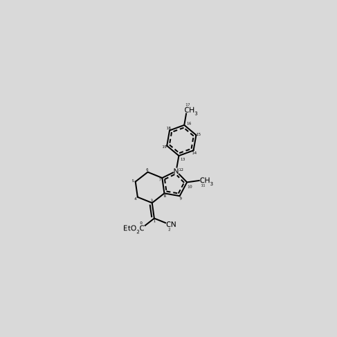 CCOC(=O)C(C#N)=C1CCCc2c1cc(C)n2-c1ccc(C)cc1